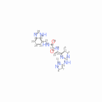 Cc1cnc(Nc2ccnn2C)nc1-c1coc(C(=O)NCc2cccc3nc[nH]c23)n1